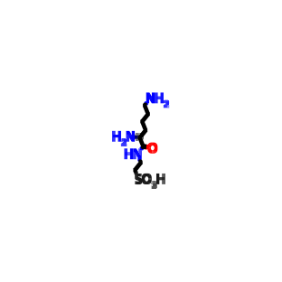 NCCCC[C@H](N)C(=O)NCCS(=O)(=O)O